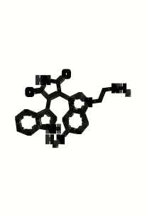 NCCn1cc(C2=C(c3c[nH]c4ccccc34)C(=O)NC2=O)c2cc(N)ccc21